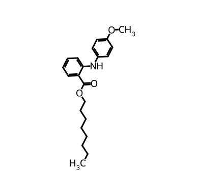 CCCCCCCCOC(=O)c1ccccc1Nc1ccc(OC)cc1